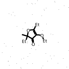 CCOC1=C(CC)OC(C)(CC)C1=O